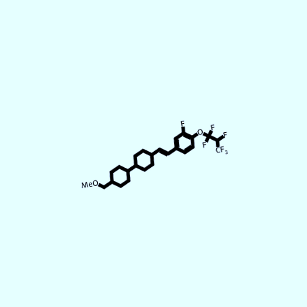 COCC1CCC(C2CCC(C=Cc3ccc(OC(F)(F)C(F)C(F)(F)F)c(F)c3)CC2)CC1